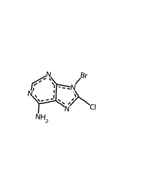 Nc1ncnc2c1nc(Cl)n2Br